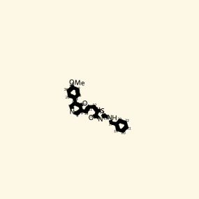 COc1ccc(-c2cncc3cc(C=C4SC(NCc5ccccc5)=NC4=O)oc23)cc1